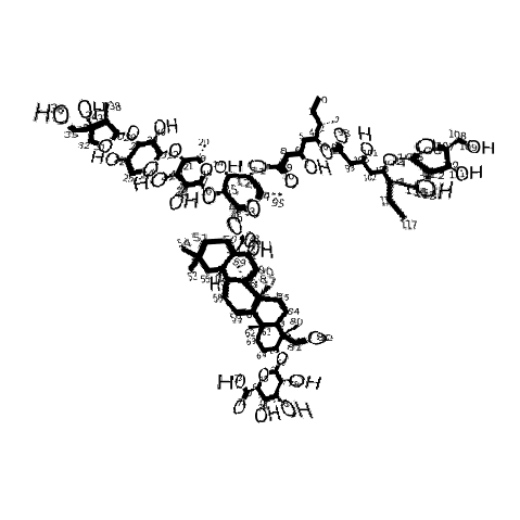 CC[C@H](C)C(CC(O)CC(=O)O[C@H]1[C@@H](O)[C@H](O[C@@H]2O[C@@H](C)[C@H](O[C@@H]3OC[C@@H](O)[C@H](O[C@@H]4OC[C@](O)(CO)[C@H]4C)[C@H]3O)[C@@H](O)[C@H]2O)[C@@H](OC(=O)[C@]23CCC(C)(C)C[C@H]2C2=CCC4[C@@]5(C)CC[C@H](OC6O[C@H](C(=O)O)[C@@H](O)[C@H](O)[C@H]6O)[C@@](C)(C=O)C5CC[C@@]4(C)[C@]2(C)C[C@H]3O)O[C@H]1C)OC(=O)CC(O)CC(O[C@@H]1O[C@@H](CO)[C@H](O)[C@H]1O)[C@@H](C)CC